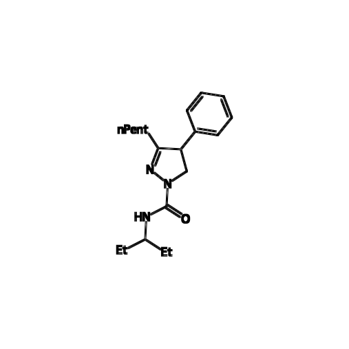 CCCCCC1=NN(C(=O)NC(CC)CC)CC1c1ccccc1